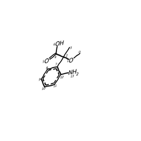 COC(C)(C(=O)O)c1ccccc1N